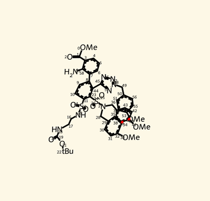 COC(=O)c1cccc(-c2ccc(S(=O)(=O)NCCNC(=O)OC(C)(C)C)c(S(=O)(=O)N(Cc3ccc(OC)cc3)Cc3ccc(OC)cc3)c2-c2nnn(Cc3ccc(OC)cc3)n2)c1N